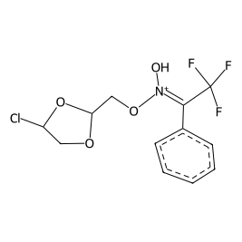 O[N+](OCC1OCC(Cl)O1)=C(c1ccccc1)C(F)(F)F